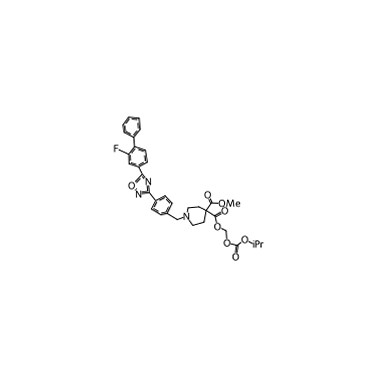 COC(=O)C1(C(=O)OCOC(=O)OC(C)C)CCN(Cc2ccc(-c3noc(-c4ccc(-c5ccccc5)c(F)c4)n3)cc2)CC1